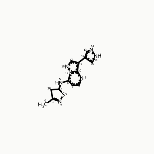 CC1=NSC(Nc2ccnc3c(-c4cn[nH]c4)cnn23)C1